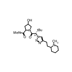 CNC(=O)C1CC(O)CN1C(=O)[C@@H](n1cc(CCC2CCCCN2C)nn1)C(C)(C)C